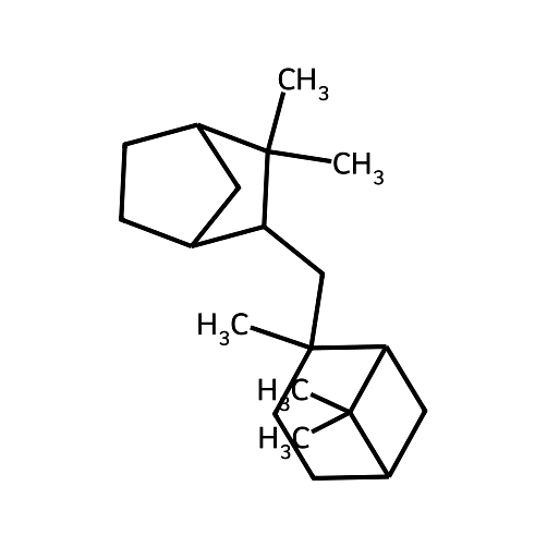 CC1(CC2C3CCC(C3)C2(C)C)CCC2CC1C2(C)C